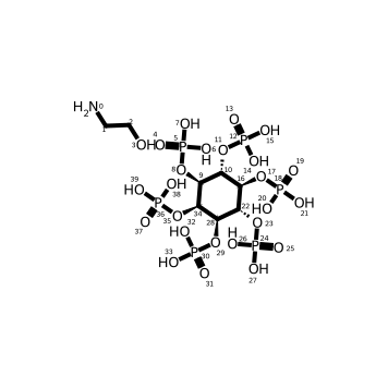 NCCO.O=P(O)(O)O[C@H]1[C@H](OP(=O)(O)O)[C@@H](OP(=O)(O)O)[C@H](OP(=O)(O)O)[C@@H](OP(=O)(O)O)[C@H]1OP(=O)(O)O